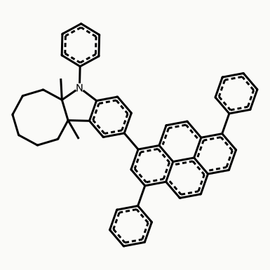 CC12CCCCCCC1(C)N(c1ccccc1)c1ccc(-c3cc(-c4ccccc4)c4ccc5ccc(-c6ccccc6)c6ccc3c4c56)cc12